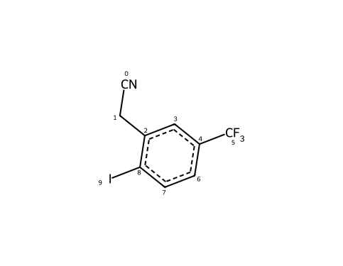 N#CCc1cc(C(F)(F)F)ccc1I